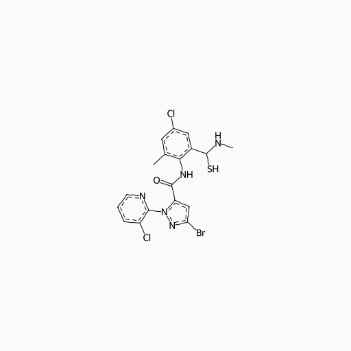 CNC(S)c1cc(Cl)cc(C)c1NC(=O)c1cc(Br)nn1-c1ncccc1Cl